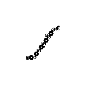 C=CC(=O)OCOc1ccc(OC(=O)c2ccc(N=Nc3ccc(N=Nc4ccc(Oc5ccc(N(C)C)cc5)cc4)cc3C)cc2)cc1